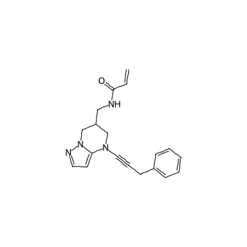 C=CC(=O)NCC1CN(C#CCc2ccccc2)c2ccnn2C1